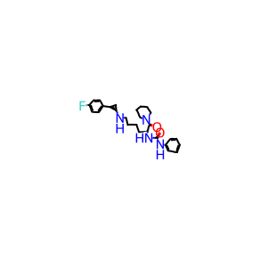 O=C(Nc1ccccc1)N[C@@H](CCCCNC1=C(c2ccc(F)cc2)C1)C(=O)N1CCCCC1